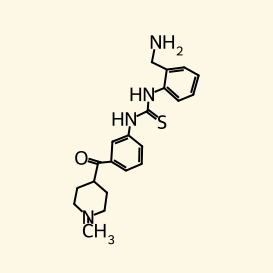 CN1CCC(C(=O)c2cccc(NC(=S)Nc3ccccc3CN)c2)CC1